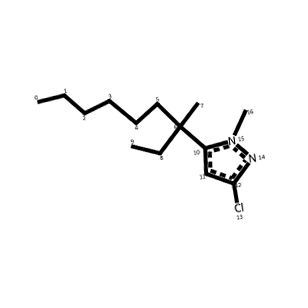 CCCCCCC(C)(CC)c1cc(Cl)nn1C